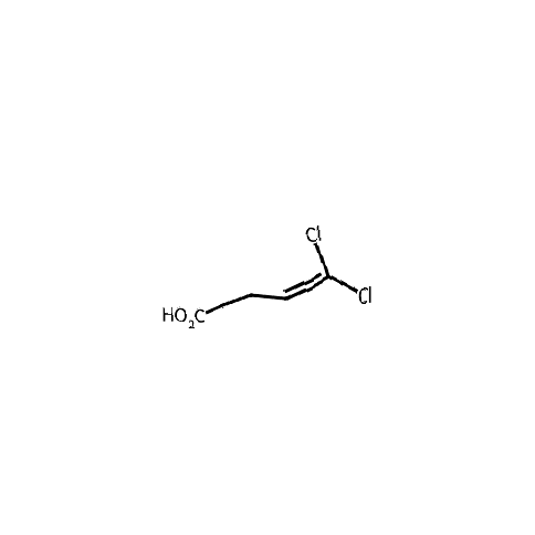 O=C(O)CC=C(Cl)Cl